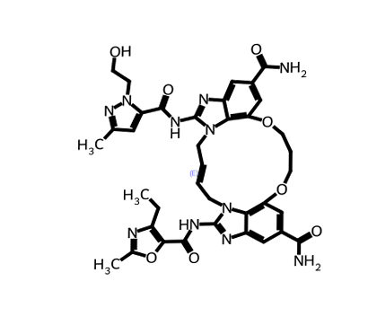 CCc1nc(C)oc1C(=O)Nc1nc2cc(C(N)=O)cc3c2n1C/C=C/Cn1c(NC(=O)c2cc(C)nn2CCO)nc2cc(C(N)=O)cc(c21)OCCCO3